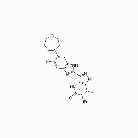 CC(C)N1C(=O)Nc2c(-c3nc4cc(F)c(N5CCCOCC5)cc4[nH]3)n[nH]c2C1C